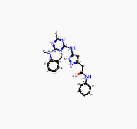 Cc1nc(Nc2cc(CC(=O)Nc3ccccc3)[nH]n2)nc(N(C)c2ccccc2C)n1